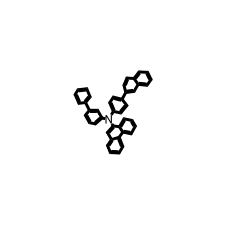 c1ccc(-c2cccc(N(c3ccc(-c4ccc5ccccc5c4)cc3)c3cc4ccccc4c4ccccc34)c2)cc1